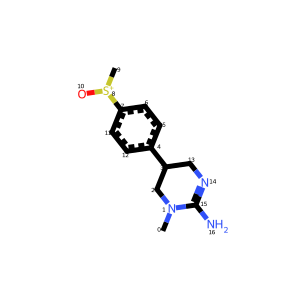 CN1CC(c2ccc([S+](C)[O-])cc2)CN=C1N